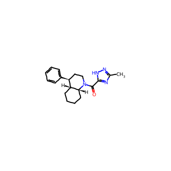 Cc1n[nH]c(C(=O)N2CC[C@H](c3ccccc3)[C@H]3CCCC[C@H]32)n1